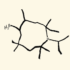 BC1C(C)CC(C)(C)N(C(C)C)C(C)(C)CC1(C)C